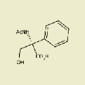 CC(=O)N[C@@](CO)(C(=O)O)c1ccccc1